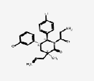 C=CC[C@@]1(C)C[C@H](c2cccc(Cl)c2)[C@@H](c2ccc(Cl)cc2)N(C(CC)CN)C1=O